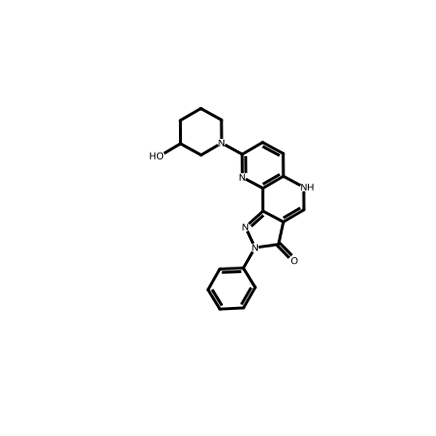 O=c1c2c[nH]c3ccc(N4CCCC(O)C4)nc3c-2nn1-c1ccccc1